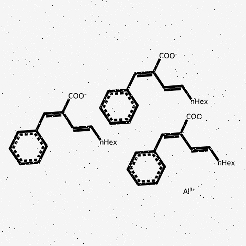 CCCCCCC=CC(=Cc1ccccc1)C(=O)[O-].CCCCCCC=CC(=Cc1ccccc1)C(=O)[O-].CCCCCCC=CC(=Cc1ccccc1)C(=O)[O-].[Al+3]